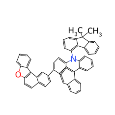 CC1(C)c2ccccc2-c2c(N(c3ccc(-c4ccc5ccc6oc7ccccc7c6c5c4)cc3)c3ccccc3-c3cccc4ccccc34)cccc21